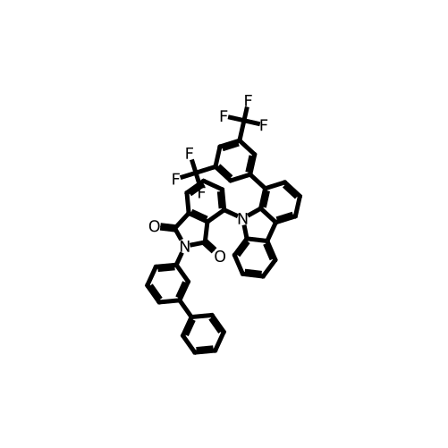 O=C1c2cccc(-n3c4ccccc4c4cccc(-c5cc(C(F)(F)F)cc(C(F)(F)F)c5)c43)c2C(=O)N1c1cccc(-c2ccccc2)c1